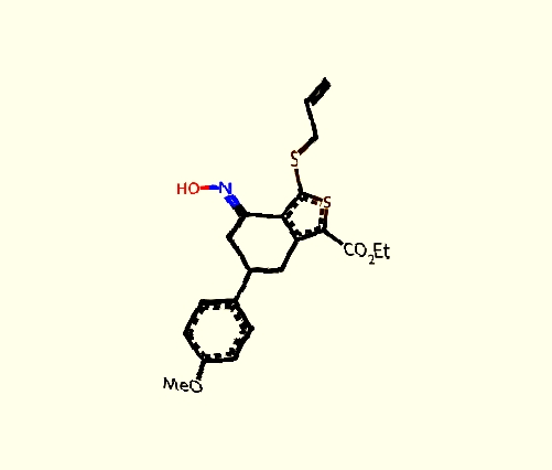 C=CCSc1sc(C(=O)OCC)c2c1C(=NO)CC(c1ccc(OC)cc1)C2